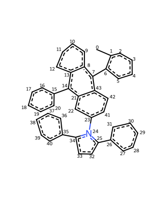 Cc1ccccc1-c1c2ccccc2c(-c2ccccc2)c2cc(-n3c(-c4ccccc4)ccc3-c3ccccc3)ccc12